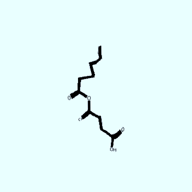 CCCCCC(=O)OC(=O)CCC(=O)O